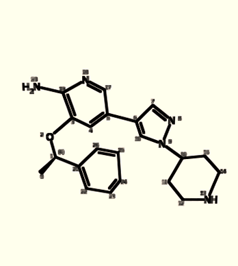 C[C@@H](Oc1cc(-c2cnn(C3CCNCC3)c2)cnc1N)c1ccccc1